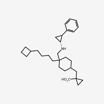 O=C(O)C1(CN2CCC(CCCCC3CCC3)(CN[C@@H]3CC3c3ccccc3)CC2)CC1